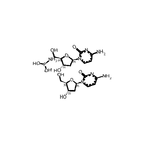 NP(O)O.Nc1ccn([C@H]2C[C@H](O)[C@@H](CO)O2)c(=O)n1.Nc1ccn([C@H]2C[C@H](O)[C@@H](CO)O2)c(=O)n1